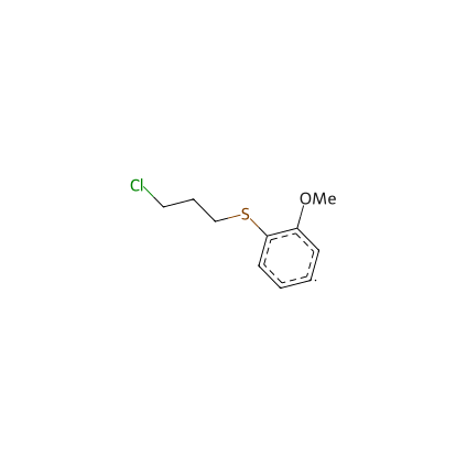 COc1c[c]ccc1SCCCCl